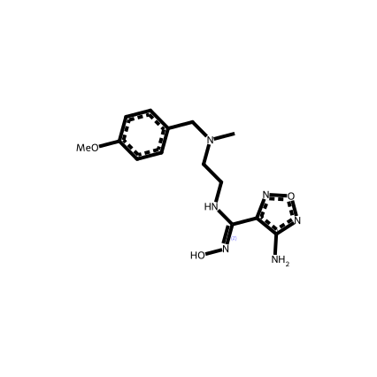 COc1ccc(CN(C)CCN/C(=N\O)c2nonc2N)cc1